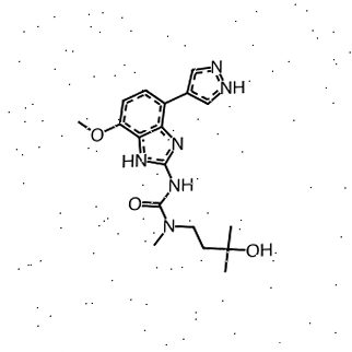 COc1ccc(-c2cn[nH]c2)c2nc(NC(=O)N(C)CCC(C)(C)O)[nH]c12